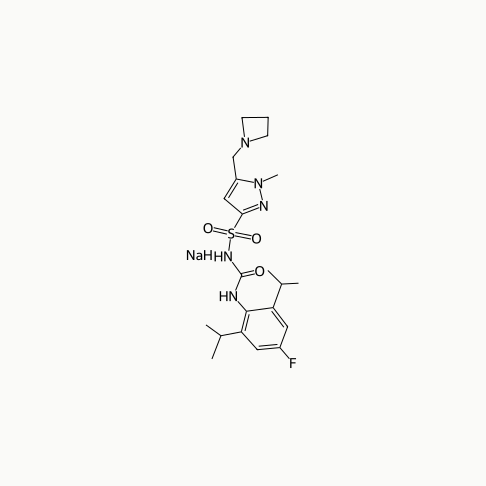 CC(C)c1cc(F)cc(C(C)C)c1NC(=O)NS(=O)(=O)c1cc(CN2CCC2)n(C)n1.[NaH]